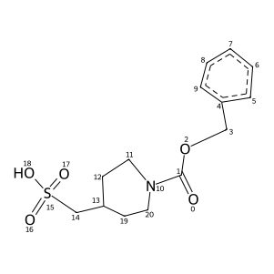 O=C(OCc1ccccc1)N1CCC(CS(=O)(=O)O)CC1